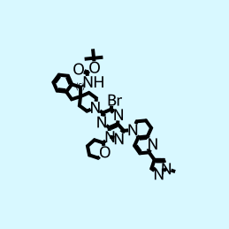 Cn1cc(-c2ccc3c(n2)CCCN3c2nn(C3CCCCO3)c3nc(N4CCC5(CC4)Cc4ccccc4[C@H]5NC(=O)OC(C)(C)C)c(Br)nc23)cn1